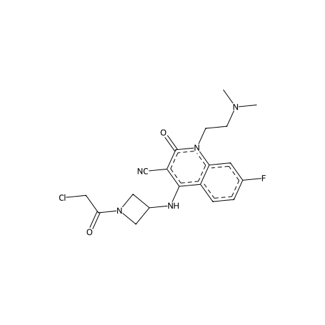 CN(C)CCn1c(=O)c(C#N)c(NC2CN(C(=O)CCl)C2)c2ccc(F)cc21